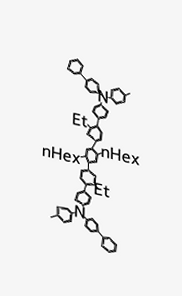 CCCCCCc1cc(-c2ccc(-c3ccc(N(c4ccc(C)cc4)c4ccc(-c5ccccc5)cc4)cc3)c(CC)c2)c(CCCCCC)cc1-c1ccc(-c2ccc(N(c3ccc(C)cc3)c3ccc(-c4ccccc4)cc3)cc2)c(CC)c1